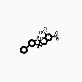 CN1c2ccc(-c3ccccc3)cc2C(C)(C)C12C=Cc1cc([N+](=O)[O-])cc([N+](=O)[O-])c1O2